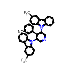 N#Cc1cccc(-c2c(-n3c4ccccc4c4cc(C(F)(F)F)ccc43)cncc2-n2c3ccccc3c3cc(C(F)(F)F)ccc32)c1